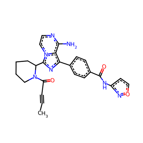 CC#CC(=O)N1CCCCC1c1nc(-c2ccc(C(=O)Nc3ccon3)cc2)c2c(N)nccn12